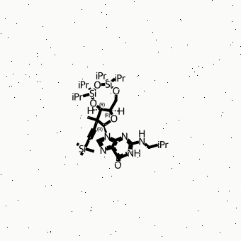 CC(C)CNc1nc2c(ncn2[C@@H]2O[C@@H]3CO[Si](C(C)C)(C(C)C)O[Si](C(C)C)(C(C)C)O[C@@H]3C2(C)C#C[Si](C)(C)C)c(=O)[nH]1